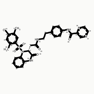 Cc1cc(S(=O)(=O)N2c3ccccc3NC(=O)[C@H]2CC(=O)NCCc2ccc(NC(=O)c3cnccn3)cc2)c(C)cc1Cl